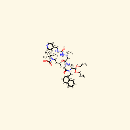 CCOC(OCC)[C@H](C)N(Cc1cccc2ccccc12)C(=O)[C@H](CCCCN(C(=O)O)C(C)(C)C)NC(=O)CN(C)NC(=O)NCc1ccncc1